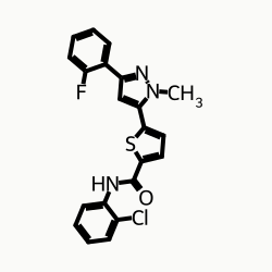 Cn1nc(-c2ccccc2F)cc1-c1ccc(C(=O)Nc2ccccc2Cl)s1